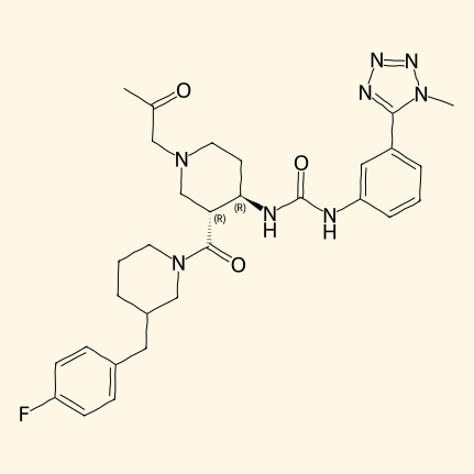 CC(=O)CN1CC[C@@H](NC(=O)Nc2cccc(-c3nnnn3C)c2)[C@H](C(=O)N2CCCC(Cc3ccc(F)cc3)C2)C1